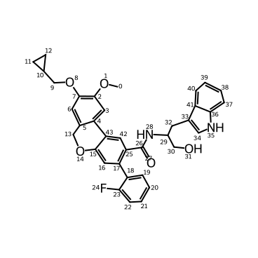 COc1cc2c(cc1OCC1CC1)COc1cc(-c3ccccc3F)c(C(=O)NC(CO)Cc3c[nH]c4ccccc34)cc1-2